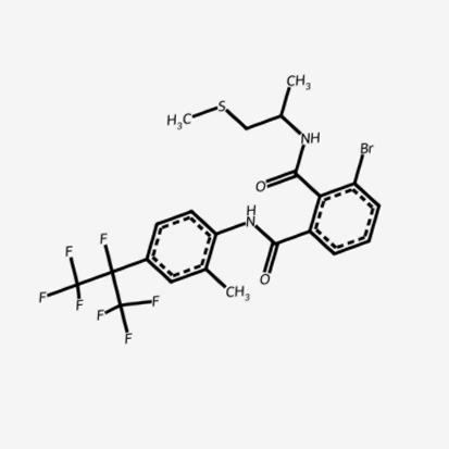 CSCC(C)NC(=O)c1c(Br)cccc1C(=O)Nc1ccc(C(F)(C(F)(F)F)C(F)(F)F)cc1C